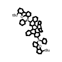 CC(C)(C)c1cccc2c1oc1c(N(c3ccccc3)c3ccc4c5c(c6ccccc6c4c3)-c3cc(N(c4ccccc4)c4cccc6c4oc4c(C(C)(C)C)cccc46)c4ccccc4c3C53c4ccccc4-c4ccccc43)cccc12